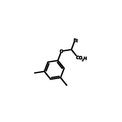 CCC(Oc1cc(C)cc(C)c1)C(=O)O